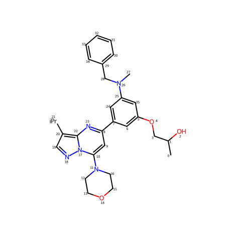 CC(O)COc1cc(-c2cc(N3CCOCC3)n3ncc(C(C)C)c3n2)cc(N(C)Cc2ccccc2)c1